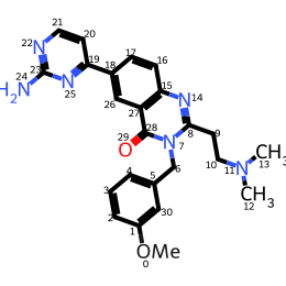 COc1cccc(Cn2c(CCN(C)C)nc3ccc(-c4ccnc(N)n4)cc3c2=O)c1